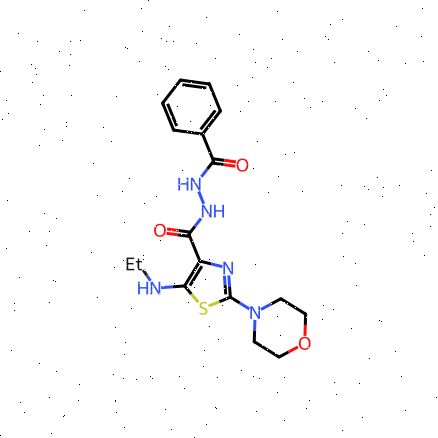 CCNc1sc(N2CCOCC2)nc1C(=O)NNC(=O)c1ccccc1